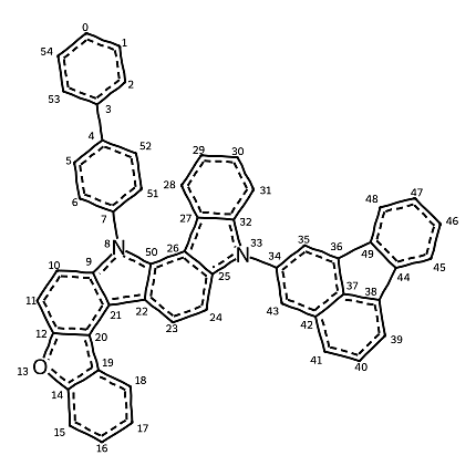 c1ccc(-c2ccc(-n3c4ccc5oc6ccccc6c5c4c4ccc5c(c6ccccc6n5-c5cc6c7c(cccc7c5)-c5ccccc5-6)c43)cc2)cc1